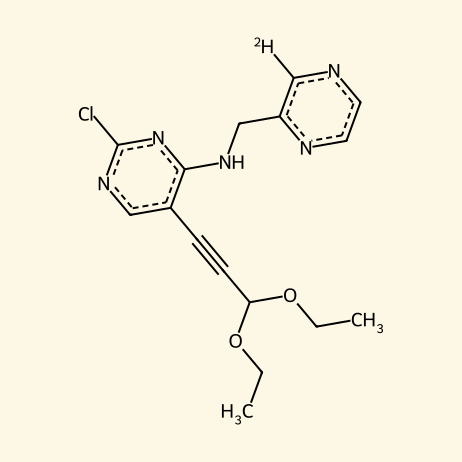 [2H]c1nccnc1CNc1nc(Cl)ncc1C#CC(OCC)OCC